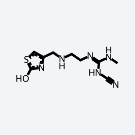 CNC(=NCCNCc1csc(O)n1)NC#N